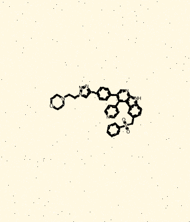 O=S(=O)(Cc1ccc2[nH]c3ncc(-c4ccc(-c5cn(CCN6CCOCC6)nn5)cc4)c(-c4ccncc4)c3c2c1)c1ccccc1